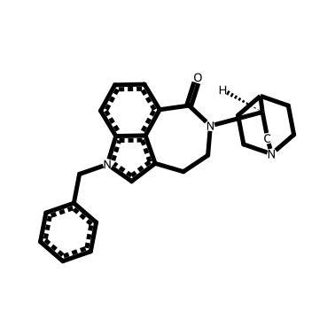 O=C1c2cccc3c2c(cn3Cc2ccccc2)CCN1[C@@H]1CN2CCC1CC2